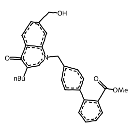 CCCCc1cn(Cc2ccc(-c3ccccc3C(=O)OC)cc2)c2cc(CO)ccc2c1=O